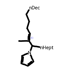 CCCCCCCCCCCCC/C=C(\C)C(CCCCCCC)n1cccc1